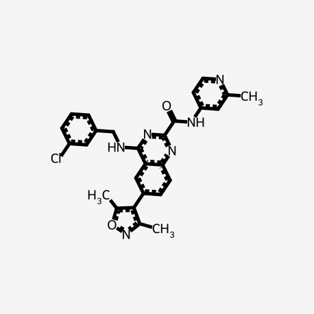 Cc1cc(NC(=O)c2nc(NCc3cccc(Cl)c3)c3cc(-c4c(C)noc4C)ccc3n2)ccn1